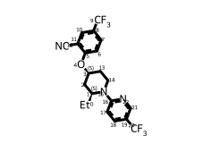 CC[C@H]1C[C@@H](Oc2ccc(C(F)(F)F)cc2C#N)CCN1c1ccc(C(F)(F)F)cn1